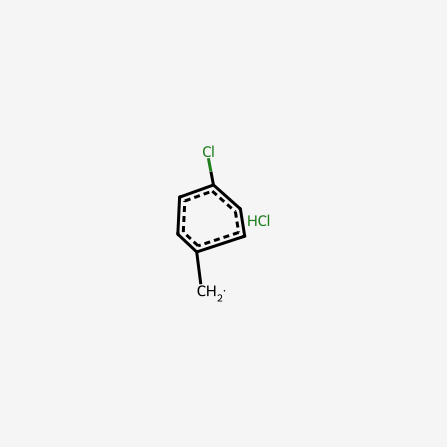 Cl.[CH2]c1ccc(Cl)cc1